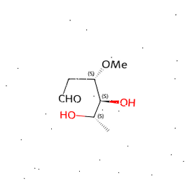 CO[C@@H](CC=O)[C@@H](O)[C@H](C)O